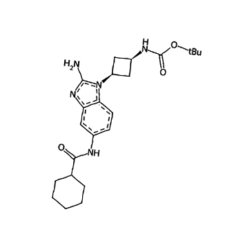 CC(C)(C)OC(=O)N[C@H]1C[C@@H](n2c(N)nc3cc(NC(=O)C4CCCCC4)ccc32)C1